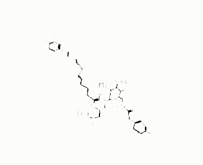 C[C@@H](O)[C@@H](O)[C@H](COC1OC(CNC(=O)Cc2ccc(Br)cc2)C(O)C(O)C1O)NC(=O)CCCCCCCCCCc1ccc(F)c(F)c1